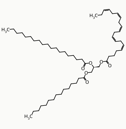 CC/C=C\C/C=C\C/C=C\C/C=C\C/C=C\CCCC(=O)OC[C@@H](COC(=O)CCCCCCCCCCCCCC)OC(=O)CCCCCCCCCCCCCCCCCC